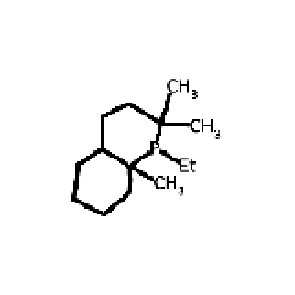 CCP1C(C)(C)CCC2CCCCC21C